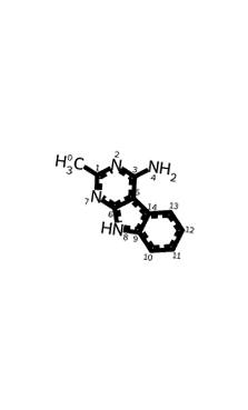 Cc1nc(N)c2c(n1)[nH]c1ccccc12